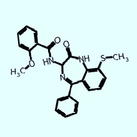 COc1ccccc1C(=O)NC1N=C(c2ccccc2)c2cccc(SC)c2NC1=O